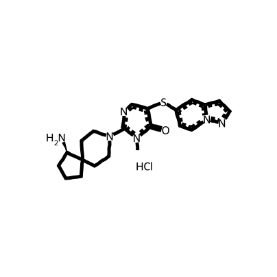 Cl.Cn1c(N2CCC3(CCC[C@H]3N)CC2)ncc(Sc2ccn3nccc3c2)c1=O